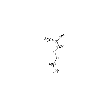 C=C(NCCNC(C)C)C(C)C